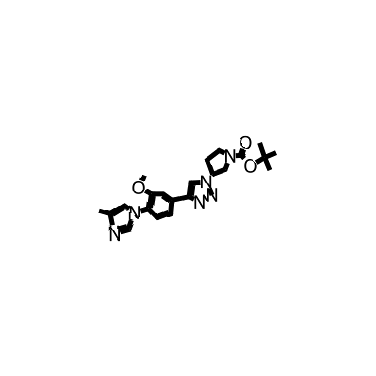 COc1cc(-c2cn(C3CCN(C(=O)OC(C)(C)C)C3)nn2)ccc1-n1cnc(C)c1